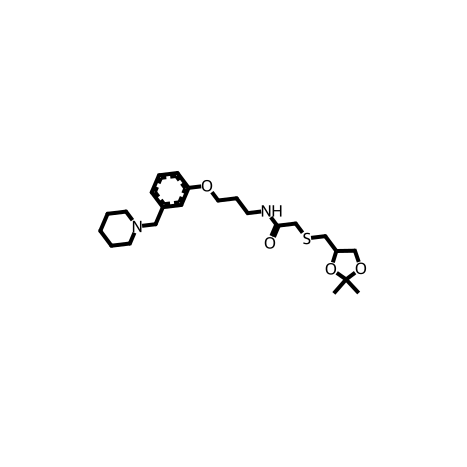 CC1(C)OCC(CSCC(=O)NCCCOc2cccc(CN3CCCCC3)c2)O1